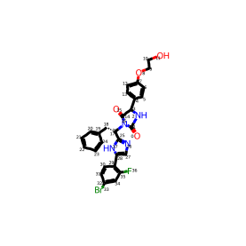 O=C1NC(c2ccc(OCCO)cc2)C(=O)N1[C@@H](Cc1ccccc1)c1ncc(-c2ccc(Br)cc2F)[nH]1